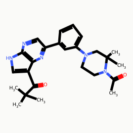 CC(=O)N1CCN(c2cccc(-c3cnc4[nH]cc(C(=O)C(C)(C)C)c4n3)c2)CC1(C)C